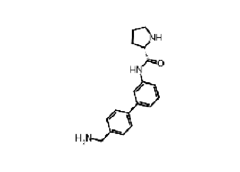 NCc1ccc(-c2cccc(NC(=O)[C@@H]3CCCN3)c2)cc1